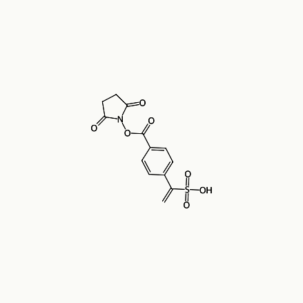 C=C(c1ccc(C(=O)ON2C(=O)CCC2=O)cc1)S(=O)(=O)O